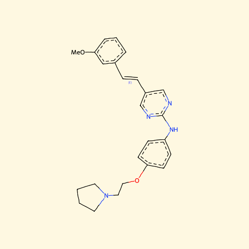 COc1cccc(/C=C/c2cnc(Nc3ccc(OCCN4CCCC4)cc3)nc2)c1